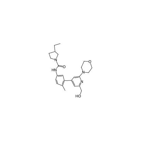 CCC1CCN(C(=O)Nc2ccc(C)c(-c3cc(CO)nc(N4CCOCC4)c3)c2)C1